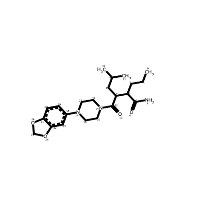 CCCC(C(N)=O)C(CC(C)C)C(=O)N1CCN(c2ccc3c(c2)OCO3)CC1